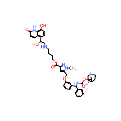 Cn1nc(C(=O)OCCCCNCC(O)c2ccc(O)c3[nH]c(=O)ccc23)cc1COc1cccc(C(NC(=O)O[C@H]2CN3CCC2CC3)c2ccccc2)c1